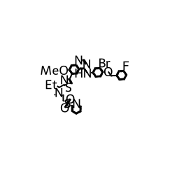 CCC(c1nc(-c2cc3c(Nc4ccc(OCc5cccc(F)c5)c(Br)c4)ncnc3cc2OC)cs1)N(C)CCS(=O)(=O)c1ccccn1